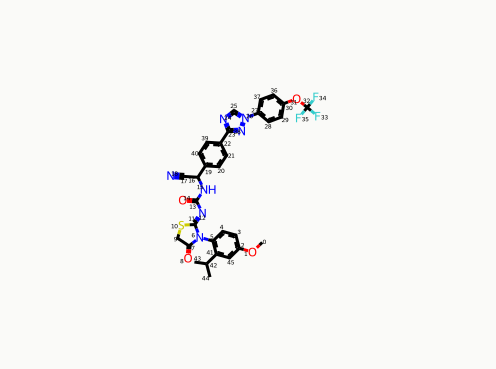 COc1ccc(N2C(=O)CS/C2=N\C(=O)NC(C#N)c2ccc(-c3ncn(-c4ccc(OC(F)(F)F)cc4)n3)cc2)c(C(C)C)c1